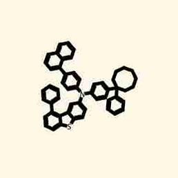 c1ccc(-c2cccc3sc4ccc(N(c5ccc(-c6cccc7ccccc67)cc5)c5ccc(C6(c7ccccc7)CCCCCCC6)cc5)cc4c23)cc1